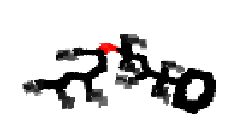 C/C(=C/C(C)CC(C)OC(C)(C)CC(C)C(C)(C)c1ccccc1)C(C)C